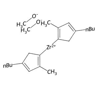 CCCCC1=CC(C)=[C]([Zr+2][C]2=C(C)C=C(CCCC)C2)C1.C[O-].C[O-]